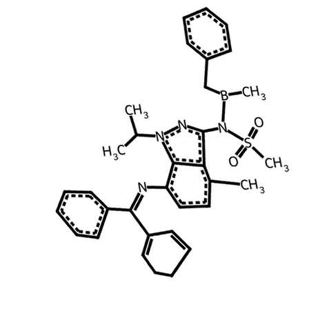 CB(Cc1ccccc1)N(c1nn(C(C)C)c2c(/N=C(\C3=CCCC=C3)c3ccccc3)ccc(C)c12)S(C)(=O)=O